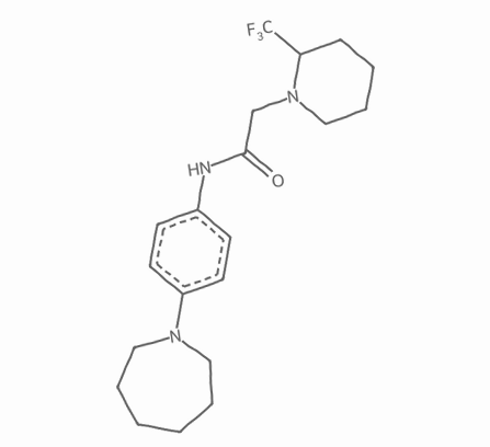 O=C(CN1CCCCC1C(F)(F)F)Nc1ccc(N2CCCCCC2)cc1